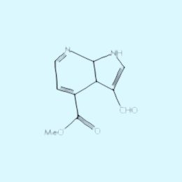 COC(=O)C1=CC=NC2NC=C(C=O)C12